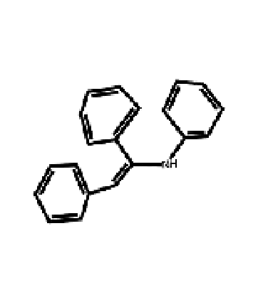 C(=C(Nc1ccccc1)c1ccccc1)c1ccccc1